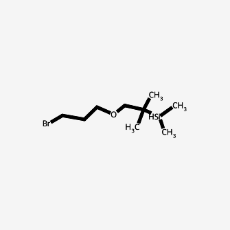 C[SiH](C)C(C)(C)COCCCBr